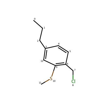 CCCc1ccc(CCl)c(SC)c1